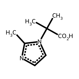 Cc1nccn1C(C)(C)C(=O)O